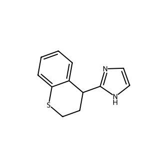 c1ccc2c(c1)SCCC2c1ncc[nH]1